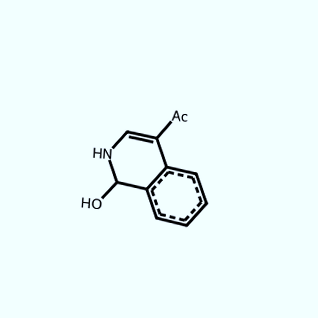 CC(=O)C1=CNC(O)c2ccccc21